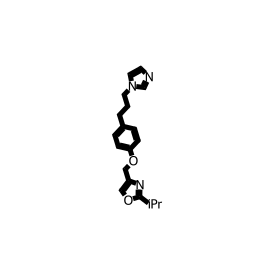 CC(C)c1nc(COc2ccc(CCCn3ccnc3)cc2)co1